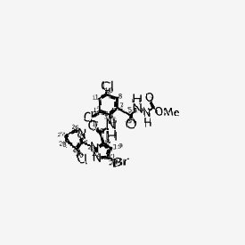 COC(=O)NNC(=O)c1cc(Cl)cc(Cl)c1NC(=O)c1cc(Br)nn1-c1ncccc1Cl